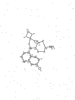 CC1(CN(c2ccnc3cc(Cl)ccc23)C2CCC(N)CC2)COC1